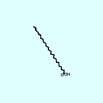 CC=CCC=CCCCCCCCCCCCCCCCCCCC(=O)O